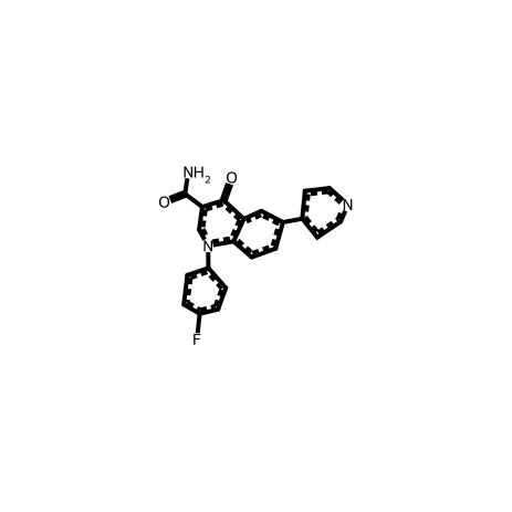 NC(=O)c1cn(-c2ccc(F)cc2)c2ccc(-c3ccncc3)cc2c1=O